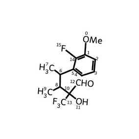 COc1cccc(C(C)C(C)C(O)(C=O)C(F)(F)F)c1F